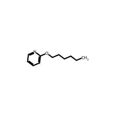 CCCCCCOc1ccccn1